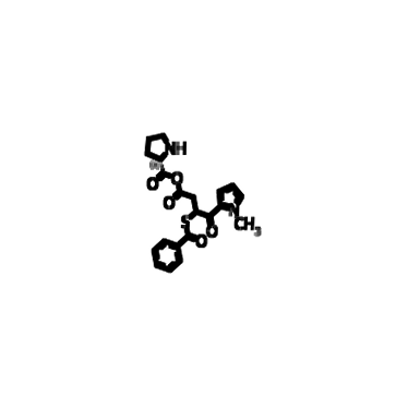 Cn1cccc1C(=O)C(CC(=O)OC(=O)[C@@H]1CCCN1)SC(=O)c1ccccc1